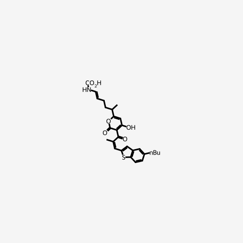 CCCCc1ccc2sc(C=C(C)C(=O)c3c(O)cc(C(C)CCC=CNC(=O)O)oc3=O)cc2c1